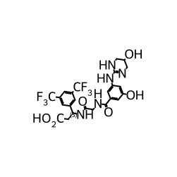 O=C(O)C[C@H](NC(=O)CNC(=O)c1cc(O)cc(NC2=NCC(O)CN2)c1)c1cc(C(F)(F)F)cc(C(F)(F)F)c1